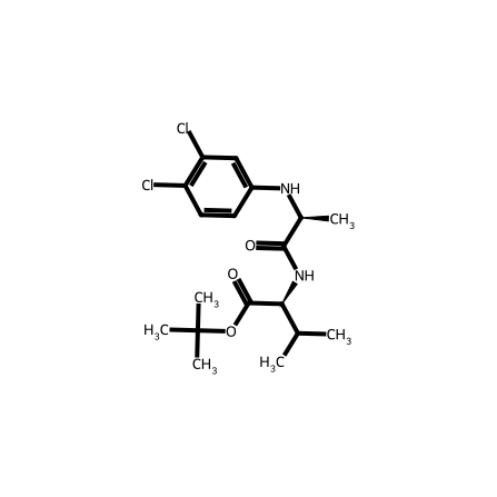 CC(C)[C@H](NC(=O)[C@H](C)Nc1ccc(Cl)c(Cl)c1)C(=O)OC(C)(C)C